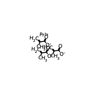 C=C(C)C(=O)[O-].C=C(C)C(=O)[O-].C=C(C)C(=O)[O-].[Pr+3]